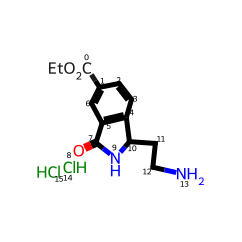 CCOC(=O)c1ccc2c(c1)C(=O)NC2CCN.Cl.Cl